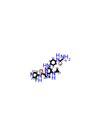 C[C@@H](N)C(=O)N[C@H]1CC[C@H](Nc2cc(NC3CC3)c3ncc(C(=O)Nc4ccncc4F)n3n2)CC1